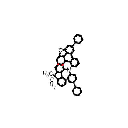 CC1(C)c2ccccc2-c2c(N(c3ccc(-c4ccccc4)cc3)c3cccc4c5cc(-c6ccccc6)cc6oc7cccc(c34)c7c65)cccc21